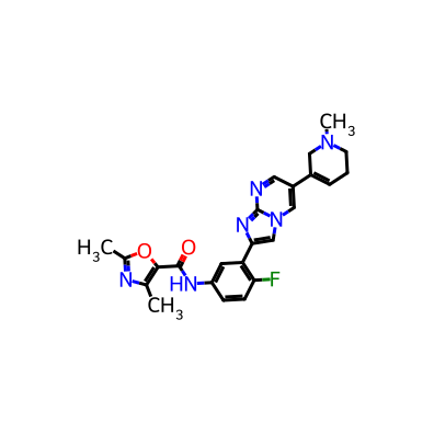 Cc1nc(C)c(C(=O)Nc2ccc(F)c(-c3cn4cc(C5=CCCN(C)C5)cnc4n3)c2)o1